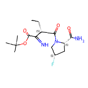 CC[C@@H](C(=N)C(=O)OC(C)(C)C)C(=O)N1C[C@@H](F)C[C@H]1C(N)=O